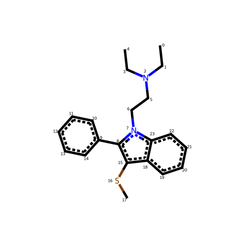 CCN(CC)CCn1c(-c2ccccc2)c(SC)c2ccccc21